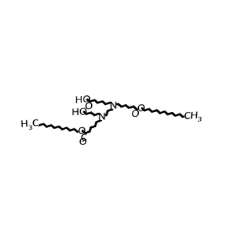 CCCCCCCCCCCCOC(=O)CCCCCN(CCCCCC(=O)O)CCCN(CCCCO)CCCCCC(=C=O)OCCCCCCCCCCCC